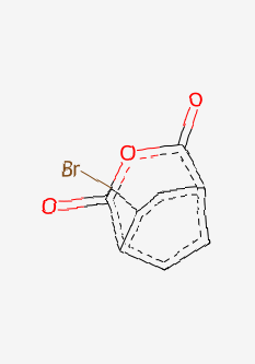 O=c1oc(=O)c2ccc1cc2Br